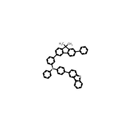 CC1(C)c2ccc(-c3cccc(N(c4ccccc4)c4ccc(-c5ccc6sc7ccccc7c6c5)cc4)c3)cc2-c2ccc(-c3ccccc3)cc21